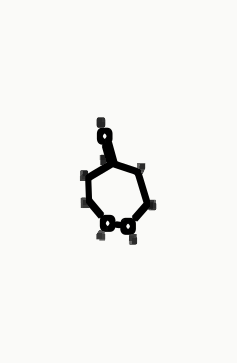 O=C1C[CH]OOCC1